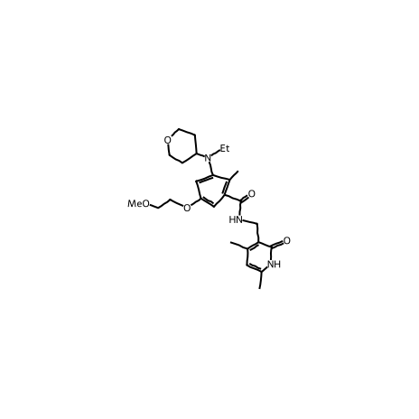 CCN(c1cc(OCCOC)cc(C(=O)NCc2c(C)cc(C)[nH]c2=O)c1C)C1CCOCC1